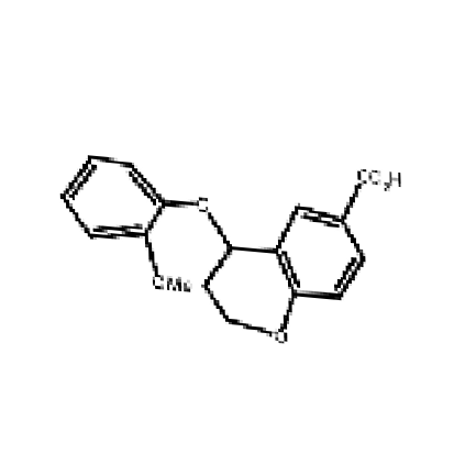 COc1ccccc1OC1CCOc2ccc(C(=O)O)cc21